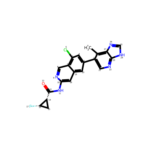 Cc1c(-c2cc(Cl)c3cnc(NC(=O)[C@@H]4C[C@@H]4F)cc3c2)cnc2[nH]cnc12